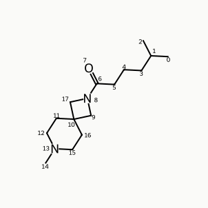 CC(C)CCCC(=O)N1CC2(CCN(C)CC2)C1